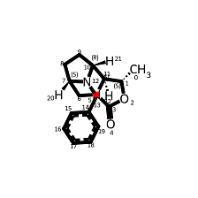 C[C@@H]1OC(=O)N2C[C@@H]3CC[C@H]([C@@H]12)N3Cc1ccccc1